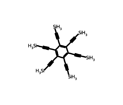 [SiH3]C#Cc1c(C#C[SiH3])c(C#C[SiH3])c(C#C[SiH3])c(C#C[SiH3])c1C#C[SiH3]